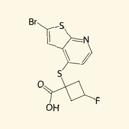 O=C(O)C1(Sc2ccnc3sc(Br)cc23)CC(F)C1